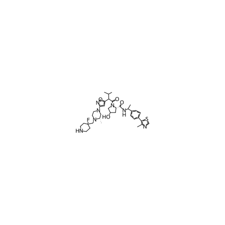 Cc1ncsc1-c1ccc(C(C)NC(=O)[C@@H]2C[C@@H](O)CN2C(=O)C(c2cc(N3CCN(CC4(F)CCNCC4)[C@@H](C)C3)no2)C(C)C)cc1